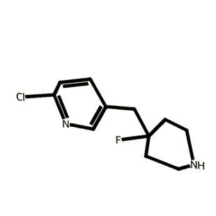 FC1(Cc2ccc(Cl)nc2)CCNCC1